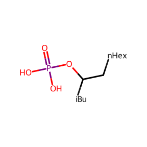 CCCCCCCC(OP(=O)(O)O)C(C)CC